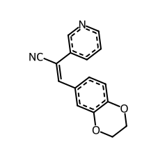 N#CC(=Cc1ccc2c(c1)OCCO2)c1cccnc1